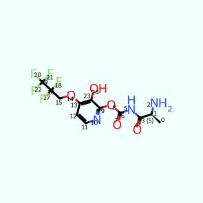 C[C@H](N)C(=O)NC(=O)Oc1nccc(OCC(F)(F)C(F)(F)F)c1O